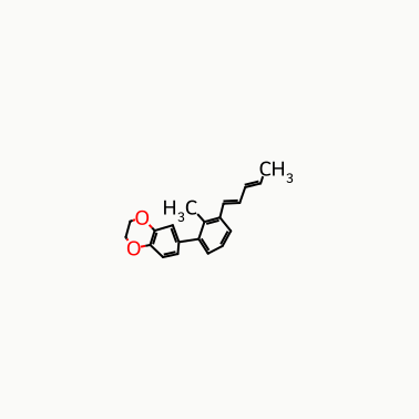 C/C=C/C=C/c1cccc(-c2ccc3c(c2)OCCO3)c1C